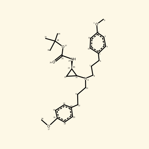 COc1ccc(CCCN(CCCc2ccc(OC)cc2)C2C[C@H]2NC(=O)OC(C)(C)C)cc1